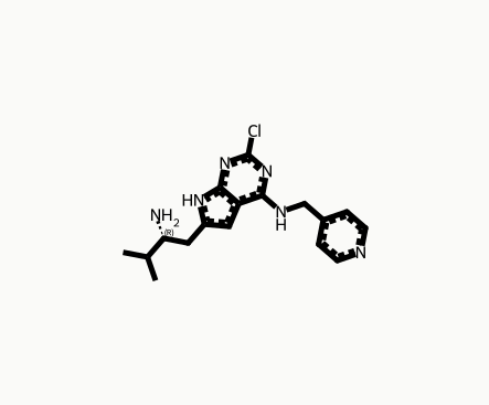 CC(C)[C@H](N)Cc1cc2c(NCc3ccncc3)nc(Cl)nc2[nH]1